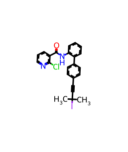 CC(C)(I)C#Cc1ccc(-c2ccccc2NC(=O)c2cccnc2Cl)cc1